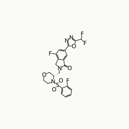 O=C1c2cc(-c3nnc(C(F)F)o3)cc(F)c2CN1C[C@H]1COCCN1S(=O)(=O)c1ccccc1F